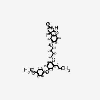 CCCc1cc(Oc2ccc(OC)cc2)ccc1OCCCCOc1cccc(C2(F)SC(=O)NC2=O)c1